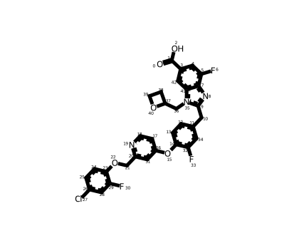 O=C(O)c1cc(F)c2nc(Cc3ccc(Oc4ccnc(COc5ccc(Cl)cc5F)c4)c(F)c3)n(CC3CCO3)c2c1